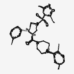 Cc1cccc([C@@H]2CN(S(=O)(=O)c3c(C)noc3C)C[C@H]2C(=O)N2CCN(c3cc(C)ccc3C)CC2)c1